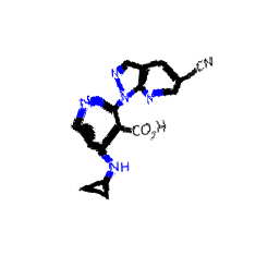 N#Cc1cnc2c(cnn2-c2nccc(NC3CC3)c2C(=O)O)c1